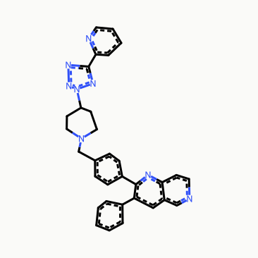 c1ccc(-c2cc3cnccc3nc2-c2ccc(CN3CCC(n4nnc(-c5ccccn5)n4)CC3)cc2)cc1